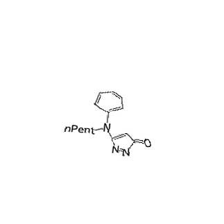 CCCCCN(C1=CC(=O)N=N1)c1ccccc1